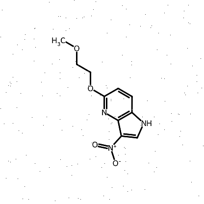 COCCOc1ccc2[nH]cc([N+](=O)[O-])c2n1